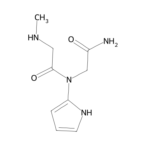 CNCC(=O)N(CC(N)=O)c1ccc[nH]1